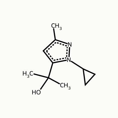 Cc1cc(C(C)(C)O)n(C2CC2)n1